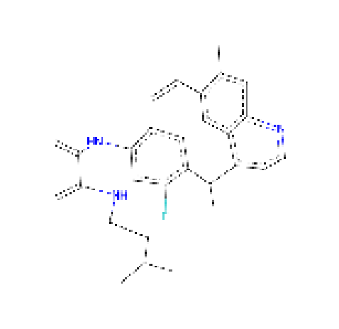 C=Cc1cc2c(C(C)c3ccc(NC(=C)C(=C)NCCC(C)C)cc3F)ccnc2cc1C